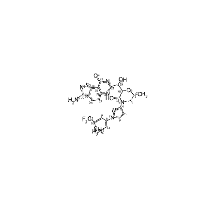 CC1CN(c2ccn(C(/C=C(\N)C(F)(F)F)=C/N)n2)C(=O)C(C(O)c2nc(=O)c3c(ccc4c(N)nsc43)[nH]2)O1